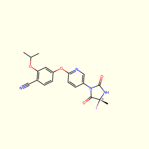 CC(C)Oc1cc(Oc2ccc(N3C(=O)N[C@](C)(I)C3=O)cn2)ccc1C#N